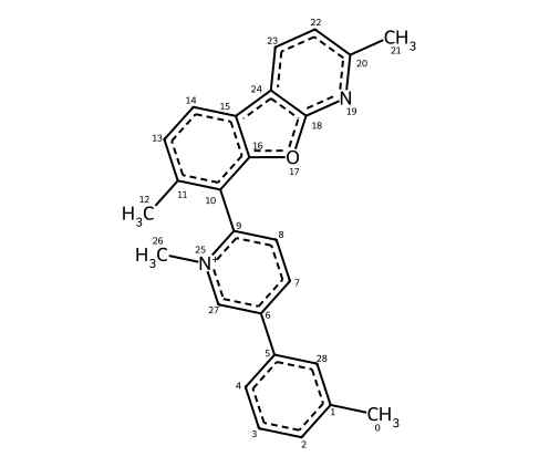 Cc1cccc(-c2ccc(-c3c(C)ccc4c3oc3nc(C)ccc34)[n+](C)c2)c1